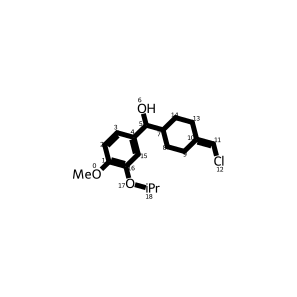 COc1ccc(C(O)C2CCC(=CCl)CC2)cc1OC(C)C